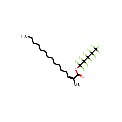 CCCCCCCCCCCCC=C(C)C(=O)OC(F)(F)C(F)(F)C(F)(F)C(F)(F)C(F)(F)F